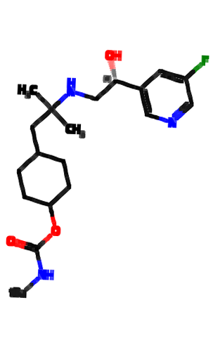 CC(C)(C)NC(=O)OC1CCC(CC(C)(C)NC[C@H](O)c2cncc(F)c2)CC1